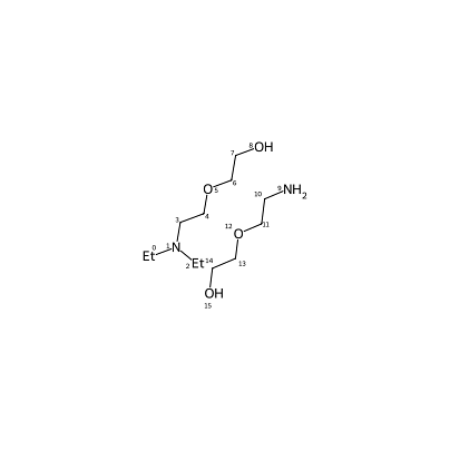 CCN(CC)CCOCCO.NCCOCCO